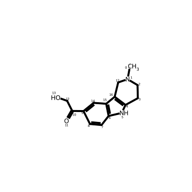 CN1CCc2[nH]c3ccc(C(=O)CO)cc3c2C1